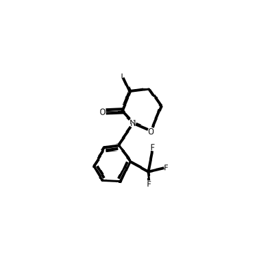 O=C1C(I)CCON1c1ccccc1C(F)(F)F